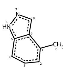 Cc1cccc2[nH]n[c]c12